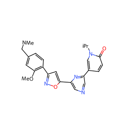 CNCc1ccc(-c2cc(-c3cncc(-c4ccc(=O)n(C(C)C)c4)n3)on2)c(OC)c1